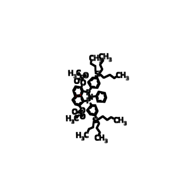 CCCC[Si](CCCC)(CCCC)c1ccc(P(c2ccccc2OS(C)(=O)=O)N(c2ccccc2)P(c2ccc([Si](CCCC)(CCCC)CCCC)cc2)c2ccccc2OS(C)(=O)=O)cc1